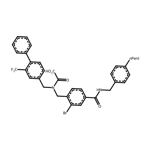 CCCCCc1ccc(CNC(=O)c2ccc(CN(Cc3ccc(-c4ccccc4)c(C(F)(F)F)c3)C(=O)C(=O)O)c(Br)c2)cc1